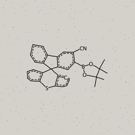 CC1(C)OB(c2cc3c(cc2C#N)-c2ccccc2C32c3ccccc3Sc3ccccc32)OC1(C)C